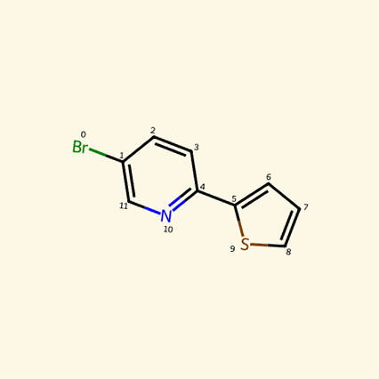 Brc1ccc(-c2cccs2)nc1